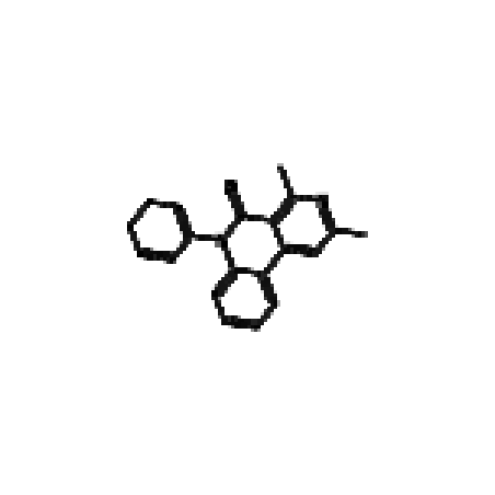 Cc1cc2c(c(C)n1)c(=O)n(C1=CCCC=C1)c1ccccc21